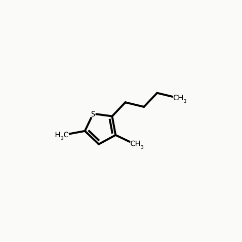 CCCCc1sc(C)cc1C